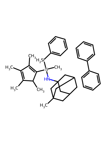 CC1=C(C)C(C)[C]([Ti]([CH3])([NH]C23CC4CC(CC(C)(C4)C2)C3)[SiH2]c2ccccc2)=C1C.c1ccc(-c2ccccc2)cc1